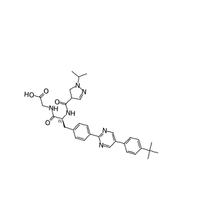 CC(C)N1CC(C(=O)N[C@@H](Cc2ccc(-c3ncc(-c4ccc(C(C)(C)C)cc4)cn3)cc2)C(=O)NCC(=O)O)C=N1